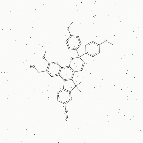 [C-]#[N+]c1ccc2c(c1)C(C)(C)c1c3c(c4cc(OC)c(CO)cc4c1-2)OC(c1ccc(OC)cc1)(c1ccc(OC)cc1)C=C3